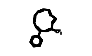 FC(F)(F)C1=C/C(c2ccccc2)=C\C=C/C=C\C=C\C=C\1